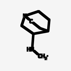 [CH2]NC1CN2CCC1CC2